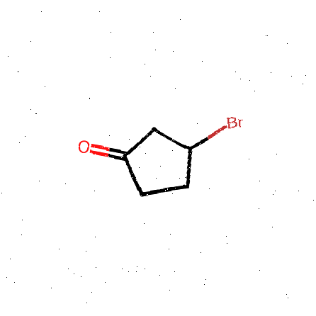 O=C1CCC(Br)C1